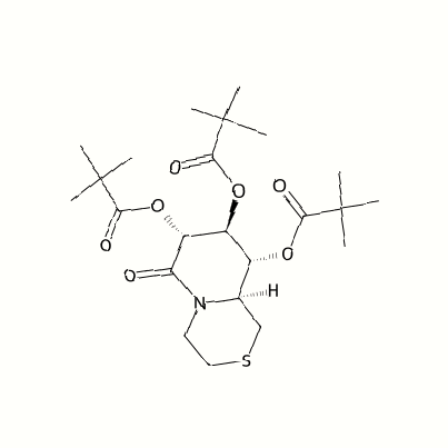 CC(C)(C)C(=O)O[C@H]1[C@H](OC(=O)C(C)(C)C)[C@@H](OC(=O)C(C)(C)C)C(=O)N2CCSC[C@H]12